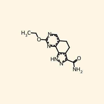 CCOc1ncc2c(n1)-c1[nH]nc(C(N)=O)c1CC2